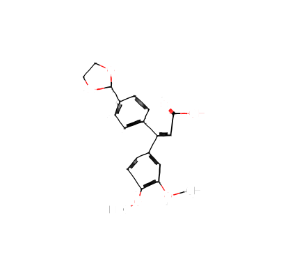 COc1ccc(C(=CC(=O)O)c2ccc(C3OCCO3)cc2)cc1OC